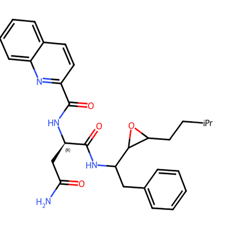 CC(C)CCC1OC1C(Cc1ccccc1)NC(=O)[C@@H](CC(N)=O)NC(=O)c1ccc2ccccc2n1